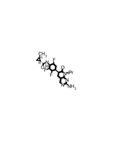 CC(C)n1c(=O)c(-c2cc(F)c(NC(=O)[C@@H]3C[C@H]3C)c(F)c2F)cc2cnc(N)nc21